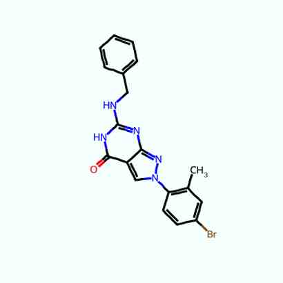 Cc1cc(Br)ccc1-n1cc2c(=O)[nH]c(NCc3ccccc3)nc2n1